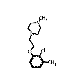 Cc1cc[c]c(OCCN2CCN(C)CC2)c1Cl